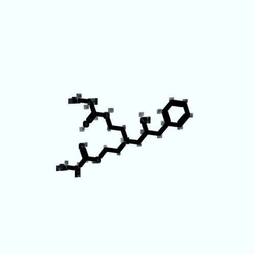 CCCCNC(=O)OCCN(CCOC(=O)NCCCC)CC(O)Cc1ccccc1